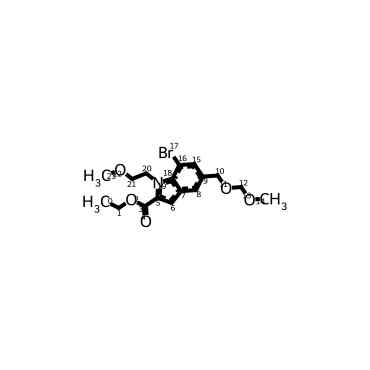 CCOC(=O)c1cc2cc(COCOC)cc(Br)c2n1CCOC